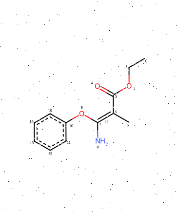 CCOC(=O)/C(C)=C(/N)Oc1ccccc1